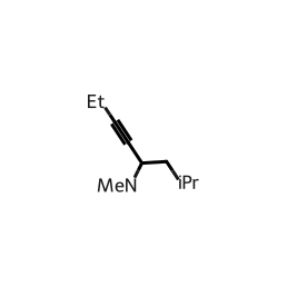 CCC#CC(CC(C)C)NC